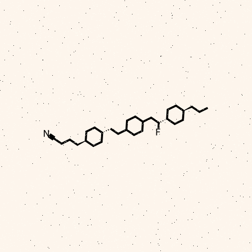 CCC[C@H]1CC[C@H](C(F)CC2CCC(CC[C@H]3CC[C@H](CCCC#N)CC3)CC2)CC1